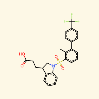 Cc1c(-c2ccc(C(F)(F)F)cc2)cccc1S(=O)(=O)N1CC(CCC(=O)O)c2ccccc21